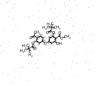 COC(=O)c1c(O)cc(Oc2ccc(C(C)=O)c(OC(=O)C(C)(C)C)c2)cc1OC(=O)C(C)(C)C